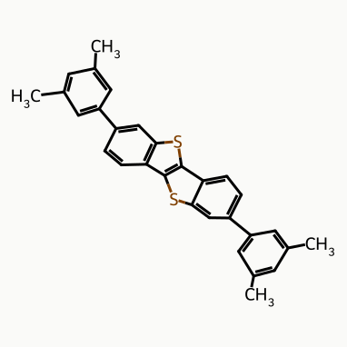 Cc1cc(C)cc(-c2ccc3c(c2)sc2c4ccc(-c5cc(C)cc(C)c5)cc4sc32)c1